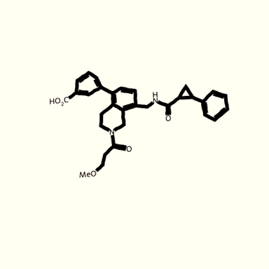 COCCC(=O)N1CCc2c(-c3cccc(C(=O)O)c3)ccc(CNC(=O)C3CC3c3ccccc3)c2C1